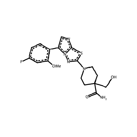 COc1cc(F)ccc1-c1cnc2sc(N3CCC(CO)(C(N)=O)CC3)nn12